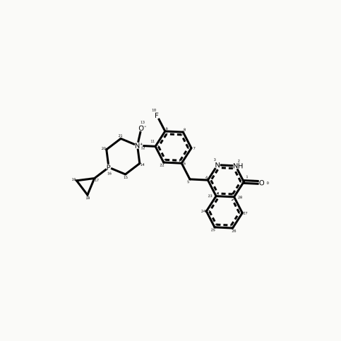 O=c1[nH]nc(Cc2ccc(F)c([N+]3([O-])CCP(C4CC4)CC3)c2)c2ccccc12